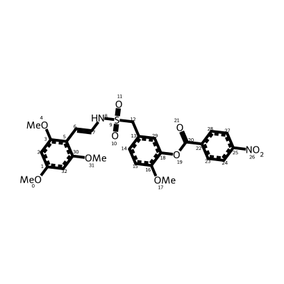 COc1cc(OC)c(/C=C/NS(=O)(=O)Cc2ccc(OC)c(OC(=O)c3ccc([N+](=O)[O-])cc3)c2)c(OC)c1